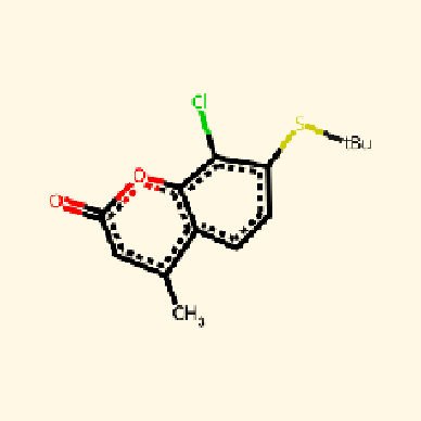 Cc1cc(=O)oc2c(Cl)c(SC(C)(C)C)ccc12